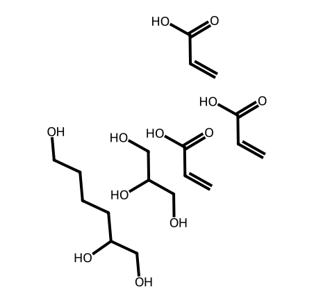 C=CC(=O)O.C=CC(=O)O.C=CC(=O)O.OCC(O)CO.OCCCCC(O)CO